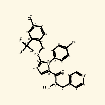 CN(Cc1ccncc1)C(=O)c1cnc(SCc2ccc(Cl)cc2C(F)(F)F)n1-c1ccc(F)cc1